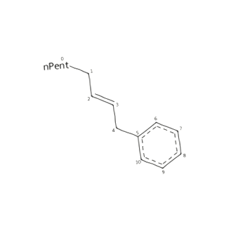 CCCCCCC=CCc1ccccc1